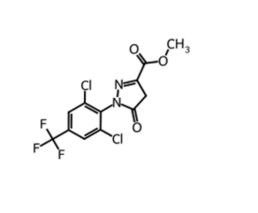 COC(=O)C1=NN(c2c(Cl)cc(C(F)(F)F)cc2Cl)C(=O)C1